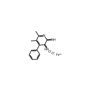 CC1=NC(=N)C(=N)C(c2ccccc2)=C1C.[Cl-].[Cl-].[Fe+2]